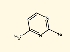 Cc1[c]cnc(Br)n1